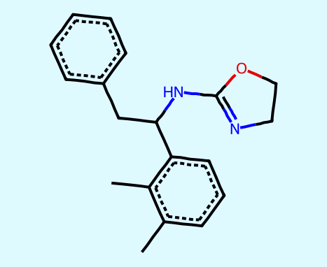 Cc1cccc(C(Cc2ccccc2)NC2=NCCO2)c1C